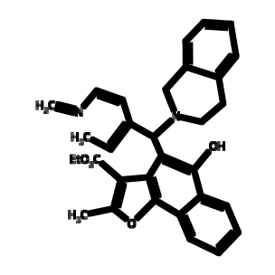 C=N/C=C\C(=C/C)C(c1c(O)c2ccccc2c2oc(C)c(C(=O)OCC)c12)N1CCc2ccccc2C1